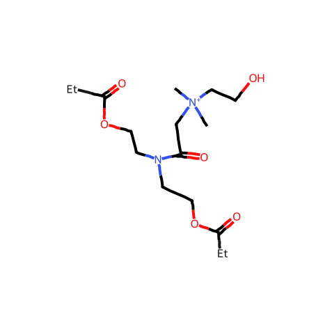 CCC(=O)OCCN(CCOC(=O)CC)C(=O)C[N+](C)(C)CCO